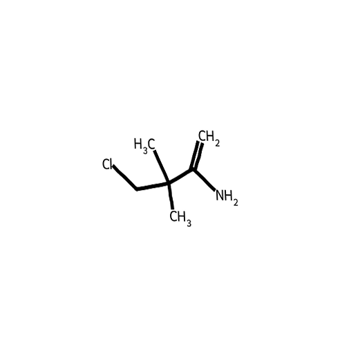 C=C(N)C(C)(C)CCl